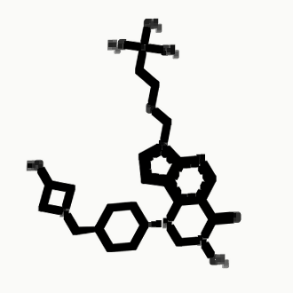 CN1CN([C@H]2CC[C@H](CN3CC(O)C3)CC2)c2c(cnc3c2ccn3COCC[Si](C)(C)C)C1=O